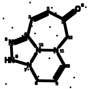 O=C1C=CC2=NNN3CC=CN(C1)N23